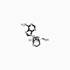 Nc1ncnc2c1ncn2[C@@H]1O[C@@]2(CO)CCO[C@@H]1[C@@H]2O